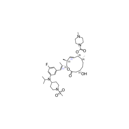 C/C(=C\c1cc(F)cc(N(C(C)C)C2CCN(S(C)(=O)=O)CC2)c1)[C@H]1OC(=O)C[C@@H](O)CC[C@@H](C)[C@@H](OC(=O)N2CCN(C)CC2)/C=C/[C@@H]1C